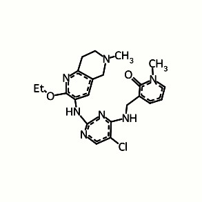 CCOc1nc2c(cc1Nc1ncc(Cl)c(NCc3cccn(C)c3=O)n1)CN(C)CC2